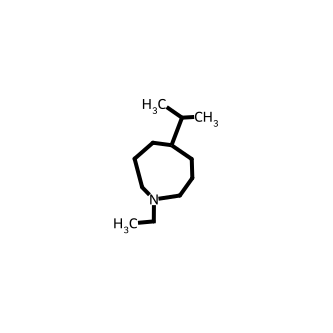 CCN1CCCC(C(C)C)CCC1